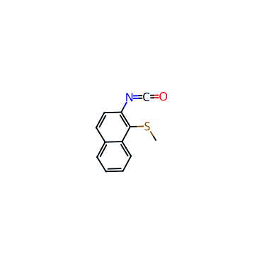 CSc1c(N=C=O)ccc2ccccc12